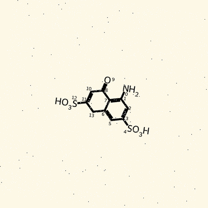 Nc1cc(S(=O)(=O)O)cc2c1C(=O)C=C(S(=O)(=O)O)C2